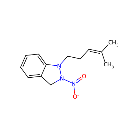 CC(C)=CCCN1c2ccccc2CN1[N+](=O)[O-]